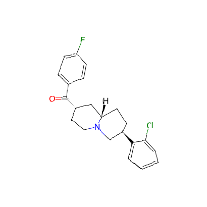 O=C(c1ccc(F)cc1)[C@H]1CCN2C[C@H](c3ccccc3Cl)CC[C@H]2C1